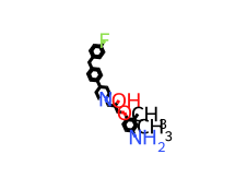 Cc1c(N)ccc(OCC(O)CN2CCC(c3ccc(Cc4ccc(F)cc4)cc3)CC2)c1C